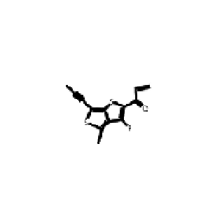 C=CC(=O)c1sc2c(C#CC)sc(C)c2c1F